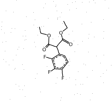 CCOC(=O)C(C(=O)OCC)c1ccc(F)c(F)c1F